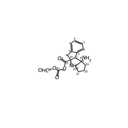 NC1(C2c3ccccc3CC2(N)C(=O)OC(=O)OC=O)CCCC1